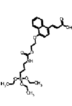 CCO[Si](CCCNC(=O)OCCOc1ccc(C=CC(=O)O)c2ccccc12)(OCC)OCC